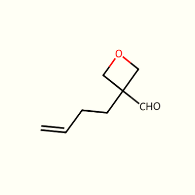 C=CCCC1(C=O)COC1